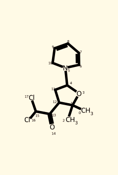 CC1(C)OC(N2C=CC=CC2)CC1C(=O)C(Cl)Cl